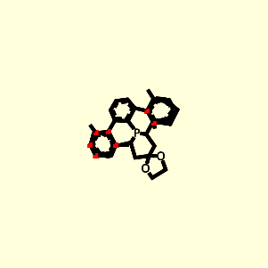 Cc1cccc(C)c1-c1cccc(-c2c(C)cccc2C)c1P1C(c2ccccc2)CC2(CC1c1ccccc1)OCCO2